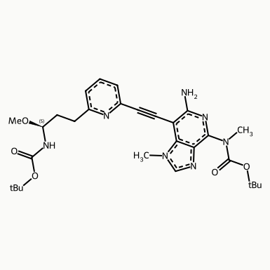 CO[C@@H](CCc1cccc(C#Cc2c(N)nc(N(C)C(=O)OC(C)(C)C)c3ncn(C)c23)n1)NC(=O)OC(C)(C)C